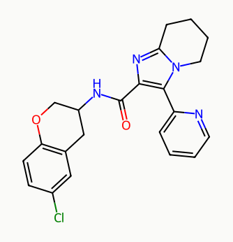 O=C(NC1COc2ccc(Cl)cc2C1)c1nc2n(c1-c1ccccn1)CCCC2